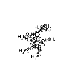 C=CCOC(=O)O[C@@H]1[C@@H](OC(=O)OCC=C)[C@H](Oc2ccc(CO[Si](C)(C)C(C)(C)C)cc2[N+](=O)[O-])O[C@H](C(=O)OCC=C)[C@H]1OC(=O)OCC=C